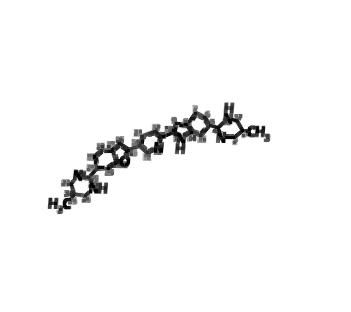 CC1C=NC(c2ccc3cc(-c4ccc(-c5cc6ccc(C7=NCC(C)CN7)cc6o5)cn4)[nH]c3c2)NC1